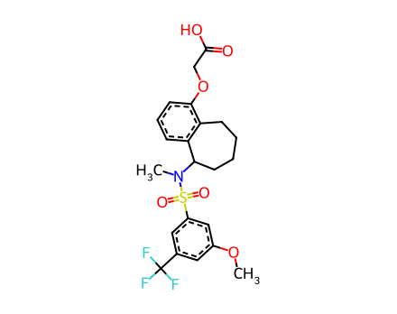 COc1cc(C(F)(F)F)cc(S(=O)(=O)N(C)C2CCCCc3c(OCC(=O)O)cccc32)c1